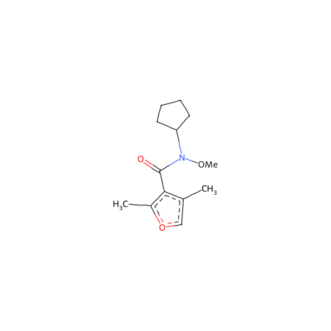 CON(C(=O)c1c(C)coc1C)C1CCCC1